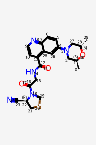 C[C@H]1CN(c2ccc3nccc(C(=O)NCC(=O)N4CSC[C@H]4C#N)c3c2)C[C@H](C)O1